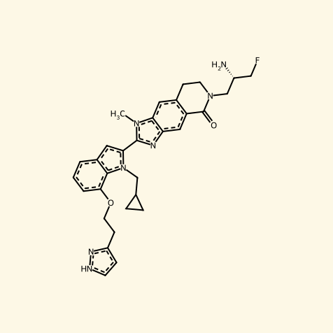 Cn1c(-c2cc3cccc(OCCc4cc[nH]n4)c3n2CC2CC2)nc2cc3c(cc21)CCN(C[C@H](N)CF)C3=O